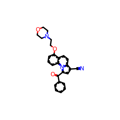 N#Cc1cc(C(=O)c2ccccc2)n2c1ccc1c(OCCN3CCOCC3)cccc12